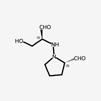 O=C[C@H](CO)NN1CCC[C@H]1C=O